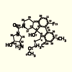 COCCCC[C@@](O)(c1cccc(F)c1-c1cc(C)cc(C)c1)C1CCCN(C(=O)N2C[C@@H](N)[C@@H](O)C2)C1